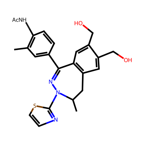 CC(=O)Nc1ccc(C2=NN(c3nccs3)C(C)Cc3cc(CO)c(CO)cc32)cc1C